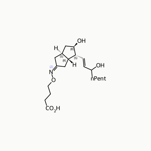 CCCCCC(O)C=C[C@@H]1[C@@H]2C/C(=N\OCCCC(=O)O)C[C@H]2C[C@H]1O